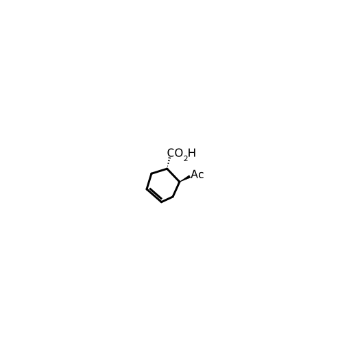 CC(=O)[C@H]1CC=CC[C@@H]1C(=O)O